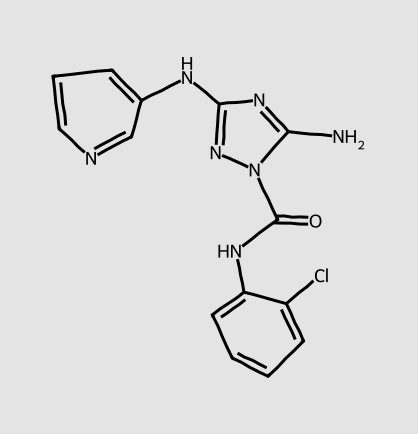 Nc1nc(Nc2cccnc2)nn1C(=O)Nc1ccccc1Cl